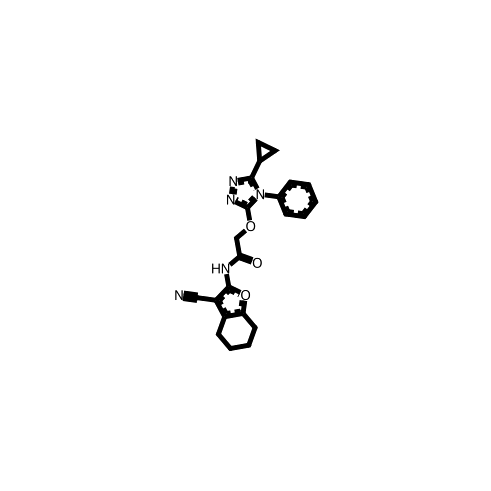 N#Cc1c(NC(=O)COc2nnc(C3CC3)n2-c2ccccc2)oc2c1CCCC2